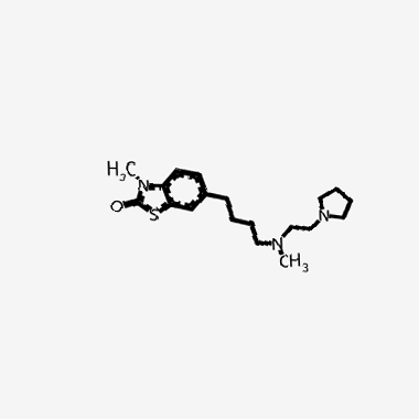 CN(CCCCc1ccc2c(c1)sc(=O)n2C)CCN1CCCC1